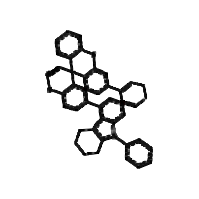 C1=NC(c2ccc3c(c2)Sc2ccccc2C32c3ccccc3Sc3ccc(-c4cccc5c4c4c(n5-c5ccccc5)CCCC4)cc32)=CCC1